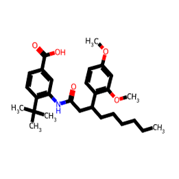 CCCCCCC(CC(=O)Nc1cc(C(=O)O)ccc1C(C)(C)C)c1ccc(OC)cc1OC